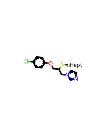 CCCCCCCSC(COc1ccc(Cl)cc1)Cn1ccnc1